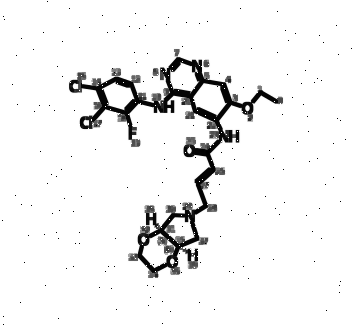 CCOc1cc2ncnc(Nc3ccc(Cl)c(Cl)c3F)c2cc1NC(=O)C=CCN1C[C@@H]2OCCO[C@@H]2C1